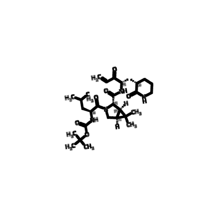 C=CC(=O)[C@H](C[C@@H]1CCCNC1=O)NC(=O)[C@@H]1[C@@H]2[C@H](CN1C(=O)[C@H](CC(C)C)NC(=O)OC(C)(C)C)C2(C)C